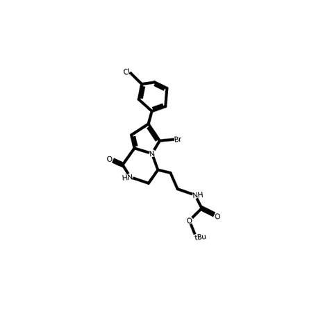 CC(C)(C)OC(=O)NCCC1CNC(=O)c2cc(-c3cccc(Cl)c3)c(Br)n21